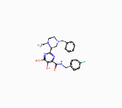 CN1CCN(Cc2ccccc2)CC1c1nc(O)c(O)c(C(=O)NCc2ccc(F)cc2)n1